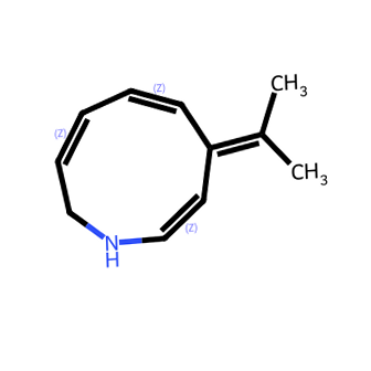 CC(C)=C1/C=C\C=C/CN/C=C\1